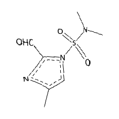 Cc1cn(S(=O)(=O)N(C)C)c(C=O)n1